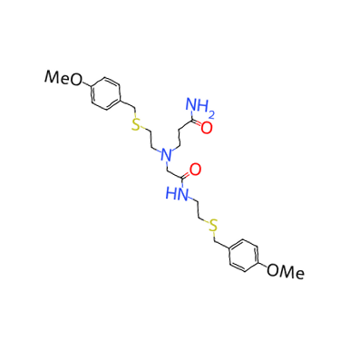 COc1ccc(CSCCNC(=O)CN(CCSCc2ccc(OC)cc2)CCC(N)=O)cc1